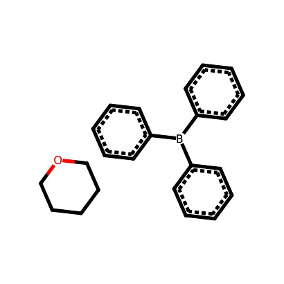 C1CCOCC1.c1ccc(B(c2ccccc2)c2ccccc2)cc1